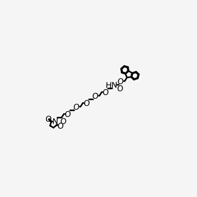 O=C(COCCOCCOCCOCCOCCNC(=O)OCC1c2ccccc2-c2ccccc21)CN1C(=O)CCC1=O